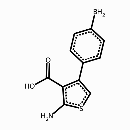 Bc1ccc(-c2csc(N)c2C(=O)O)cc1